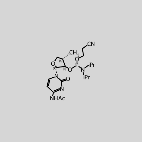 CC(=O)Nc1ccn([C@@H]2OC[C@H](C)[C@H]2OP(OCCC#N)N(C(C)C)C(C)C)c(=O)n1